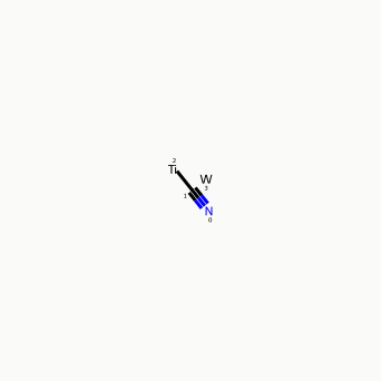 N#[C][Ti].[W]